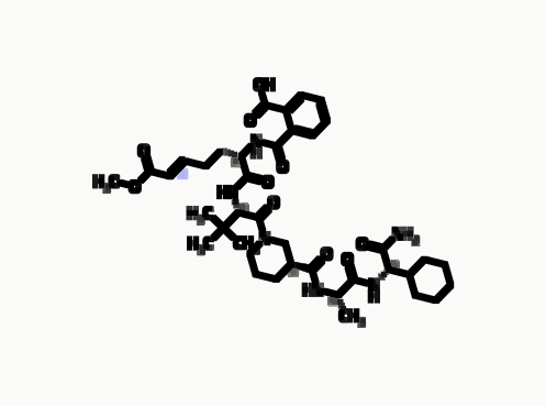 COC(=O)/C=C/CC[C@H](NC(=O)c1ccccc1C(=O)O)C(=O)N[C@H](C(=O)N1CCC[C@H](C(=O)N[C@@H](C)C(=O)N[C@H](C(N)=O)C2CCCCC2)C1)C(C)(C)C